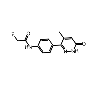 Cc1cc(=O)[nH]nc1-c1ccc(NC(=O)CF)cc1